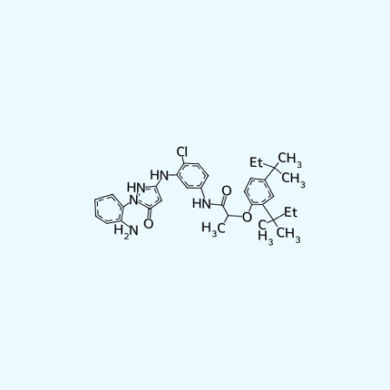 CCC(C)(C)c1ccc(OC(C)C(=O)Nc2ccc(Cl)c(Nc3cc(=O)n(-c4ccccc4N)[nH]3)c2)c(C(C)(C)CC)c1